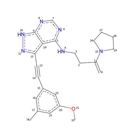 C=C(CCNc1ncnc2[nH]nc(C#Cc3cc(C)cc(OC)c3)c12)N1CCCC1